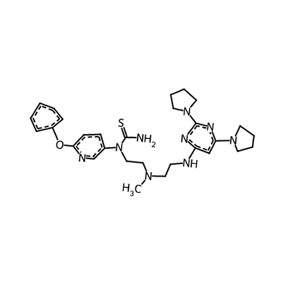 CN(CCNc1cc(N2CCCC2)nc(N2CCCC2)n1)CCN(C(N)=S)c1ccc(Oc2ccccc2)nc1